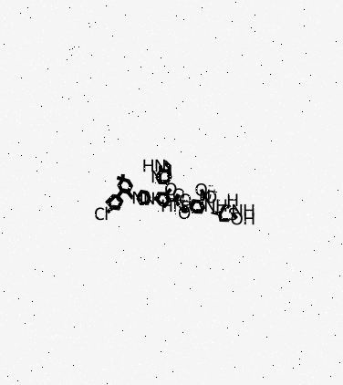 CC1(C)CCC(CN2CCN(c3ccc(C(=O)NS(=O)(=O)c4ccc(NCC5CC[SH](=N)(O)CC5)c([N+](=O)[O-])c4)c(Oc4cnc5[nH]ccc5c4)c3)CC2)=C(c2ccc(Cl)cc2)C1